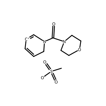 CS(=O)(=O)[O-].O=C(N1C=[C+]C=CC1)N1CCOCC1